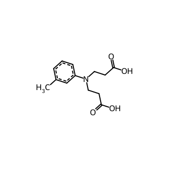 Cc1cccc(N(CCC(=O)O)CCC(=O)O)c1